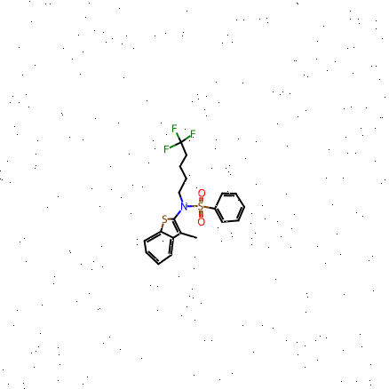 Cc1c(N(CCCCC(F)(F)F)S(=O)(=O)c2ccccc2)sc2ccccc12